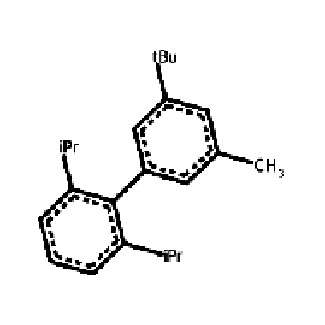 Cc1cc(-c2c(C(C)C)cccc2C(C)C)cc(C(C)(C)C)c1